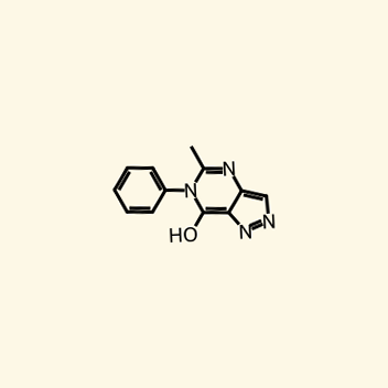 Cc1nc2cnnc-2c(O)n1-c1ccccc1